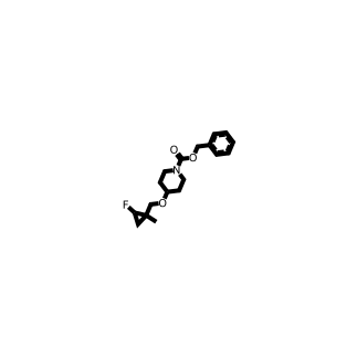 CC1(COC2CCN(C(=O)OCc3ccccc3)CC2)CC1F